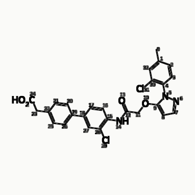 Cc1ccc(-n2nccc2OCC(=O)Nc2ccc(-c3ccc(CC(=O)O)cc3)cc2Cl)c(Cl)c1